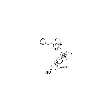 C[C@H](CCC(=O)N[C@H](C)C(=O)OCc1ccccc1)[C@H]1CCC2C3C(CC[C@@]21C)[C@@]1(C)CC[C@@H](O)CC1C[C@H]3O